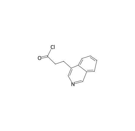 O=C(Cl)CCc1cncc2ccccc12